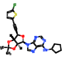 CC1(C)O[C@H]2[C@H](O1)[C@@H](C#Cc1ccc(Cl)s1)O[C@H]2n1cnc2c(NC3CCCC3)ncnc21